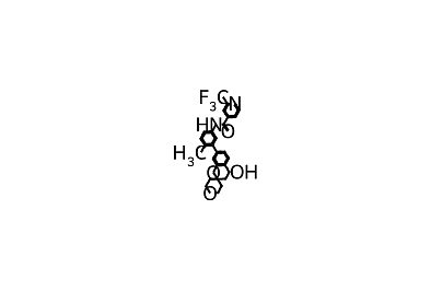 Cc1ccc(NC(=O)c2ccnc(C(F)(F)F)c2)cc1-c1ccc2c(c1)OC1(CCOCC1)CC2O